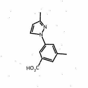 Cc1cc(C(=O)O)cc(-n2ccc(C)n2)c1